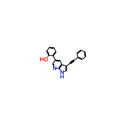 Oc1ccccc1-c1cnc2[nH]cc(C#Cc3ccccc3)c2c1